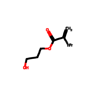 C=C(CCC)C(=O)OCCCO